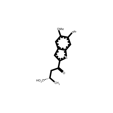 CCCc1cc2sc(C(=O)C[C@H](C)C(=O)O)cc2cc1OC